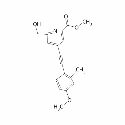 COC(=O)c1cc(C#Cc2ccc(OC)cc2C)cc(CO)n1